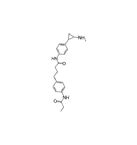 CCC(=O)Nc1ccc(CCCC(=O)Nc2ccc(C3CC3N)cc2)cc1